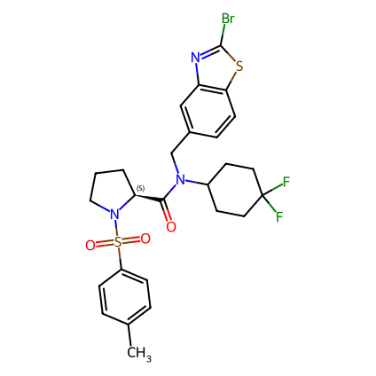 Cc1ccc(S(=O)(=O)N2CCC[C@H]2C(=O)N(Cc2ccc3sc(Br)nc3c2)C2CCC(F)(F)CC2)cc1